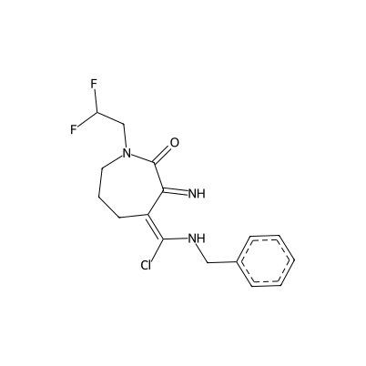 N=C1C(=O)N(CC(F)F)CCC/C1=C(\Cl)NCc1ccccc1